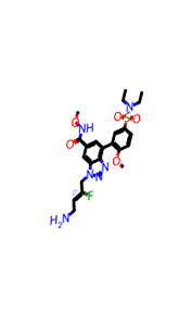 CCN(CC)S(=O)(=O)c1ccc(OC)c(-c2cc(C(=O)NOC)cc3c2nnn3C/C(F)=C/CN)c1